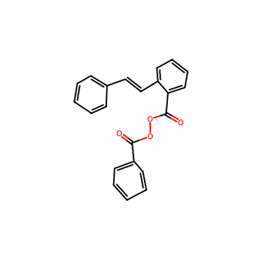 O=C(OOC(=O)c1ccccc1/C=C/c1ccccc1)c1ccccc1